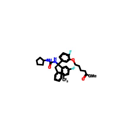 COC(=O)CCCCOc1cc([C@@](Cc2ccccc2)(NC(=O)NC2CCCC2)c2cc(F)cc(C(F)(F)F)c2)ccc1F